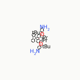 CC(C)c1cc(C2(c3ccc(Oc4ccc(N)cc4C(C)(C)C)c(C(C)C)c3)c3ccccc3-c3ccccc32)ccc1Oc1ccc(N)cc1C(C)(C)C